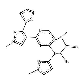 CCC1C(=O)N(C)c2cnc(-c3cn(C)nc3-c3nccs3)nc2N1c1ccn(C)n1